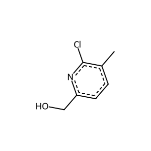 Cc1ccc(CO)nc1Cl